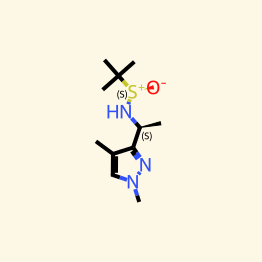 Cc1cn(C)nc1[C@H](C)N[S@+]([O-])C(C)(C)C